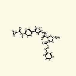 O=C(Nc1ccc(-c2csc(NC(=O)C3C[C@@H](O)CN3C(=O)OCc3ccccc3)n2)cc1)C1CC1